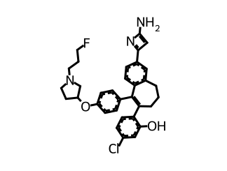 NC1=CC(c2ccc3c(c2)CCCC(c2ccc(Cl)cc2O)=C3c2ccc(OC3CCN(CCCF)C3)cc2)=N1